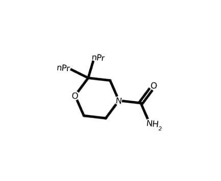 CCCC1(CCC)CN(C(N)=O)CCO1